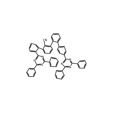 N#Cc1c(-c2ccccc2-c2ccc(-c3nc(-c4ccccc4)nc(-c4ccccc4)n3)cc2)cccc1-c1ccccc1-c1nc(-c2ccccc2)nc(-c2ccccc2)n1